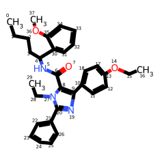 CCCCC(NC(=O)c1c(-c2ccc(OCC)cc2)nc(-c2ccccc2)n1CC)c1ccccc1OC